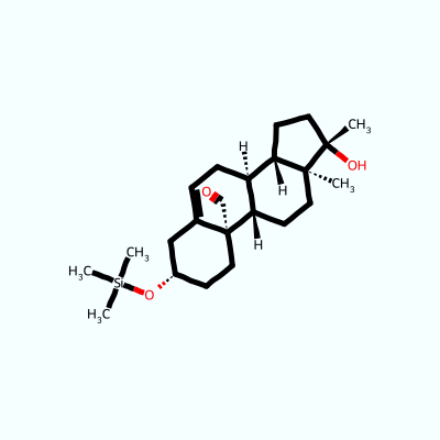 C[C@]1(O)CC[C@H]2[C@@H]3CC=C4C[C@@H](O[Si](C)(C)C)CC[C@]4(C=O)[C@H]3CC[C@@]21C